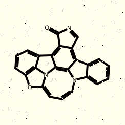 O=c1ncc2c1c1c3cccc4oc5cccn6c7ccccc7c2c6c1n5c43